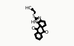 C#CCSc1nc2ccc3c(c2[nH]1)C(=O)c1ccccc1C3=O